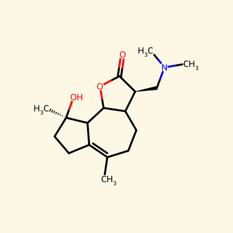 CC1=C2CC[C@@](C)(O)C2C2OC(=O)[C@@H](CN(C)C)C2CC1